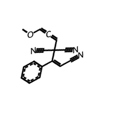 COC=C=CC(C#N)(C#N)C(=CC#N)c1ccccc1